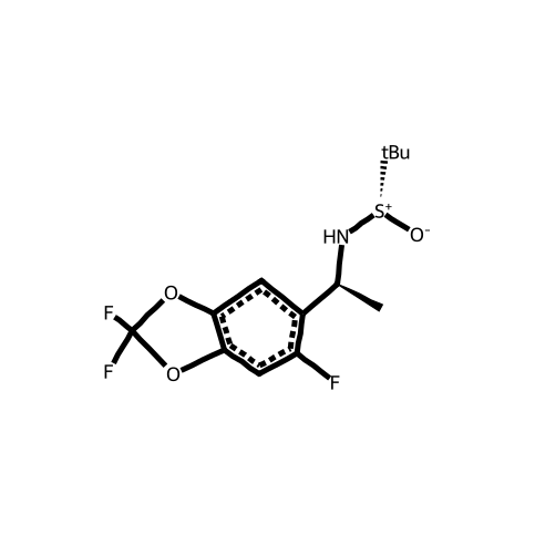 C[C@H](N[S@@+]([O-])C(C)(C)C)c1cc2c(cc1F)OC(F)(F)O2